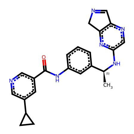 C[C@H](Nc1cnc2c(n1)CN=C2)c1cccc(NC(=O)c2cncc(C3CC3)c2)c1